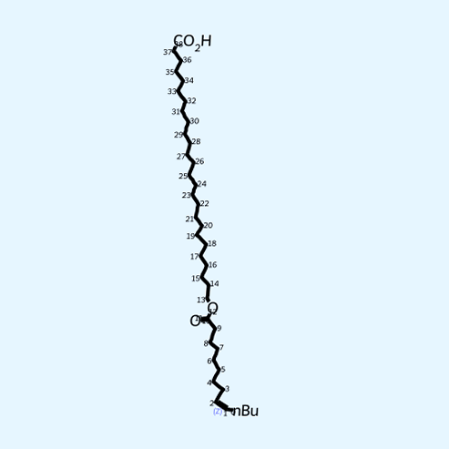 CCCC/C=C\CCCCCCCC(=O)OCCCCCCCCCCCCCCCCCCCCCCCCCC(=O)O